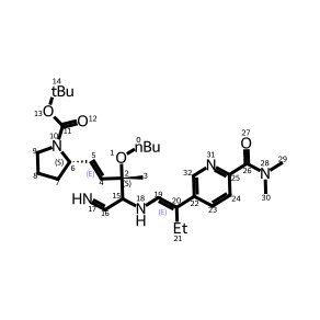 CCCCO[C@@](C)(/C=C/[C@@H]1CCCN1C(=O)OC(C)(C)C)C(C=N)N/C=C(\CC)c1ccc(C(=O)N(C)C)nc1